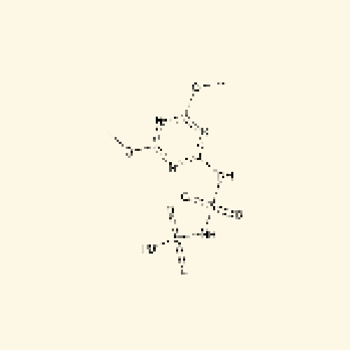 COc1nc(NS(=O)(=O)NS(=O)(=O)O)nc(OC)n1